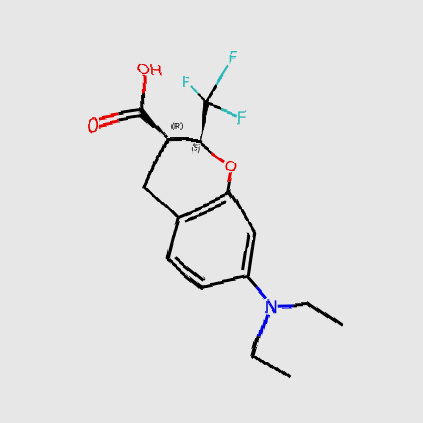 CCN(CC)c1ccc2c(c1)O[C@H](C(F)(F)F)[C@H](C(=O)O)C2